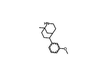 COc1cccc(C2CCC3(C)CC2CCN3)c1